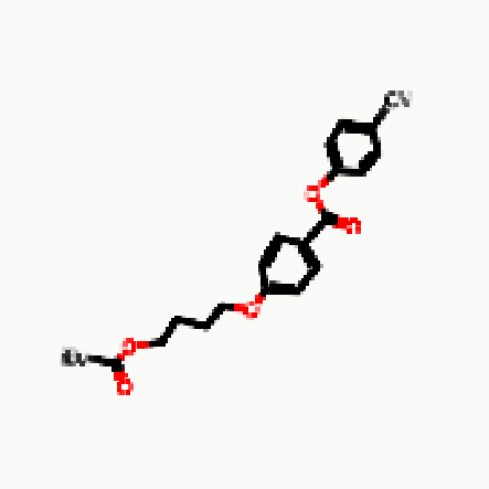 CCC(C)C(=O)OCCCCOc1ccc(C(=O)Oc2ccc(C#N)cc2)cc1